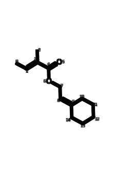 CC=C(C)C(=O)OCC=C1CCCCC1